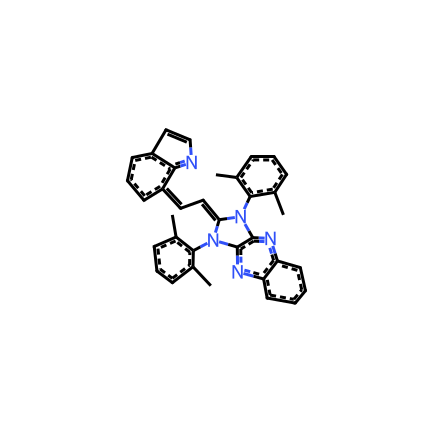 Cc1cccc(C)c1N1C(=C/C=c2/cccc3c2=NC=C3)N(c2c(C)cccc2C)c2nc3ccccc3nc21